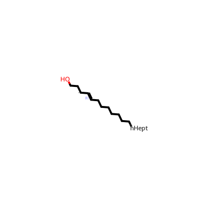 CCCCCCCCCCCCCC/C=C/[CH]CCO